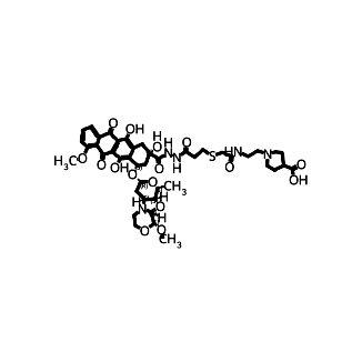 COc1cccc2c1C(=O)c1c(O)c3c(c(O)c1C2=O)C[C@@](O)(C(=O)NNC(=O)CCSCC(=O)NCCN1CCC(C(=O)O)CC1)C[C@@H]3O[C@H]1C[C@H]2[C@H](O[C@@H]3[C@@H](OC)OCCN32)[C@H](C)O1